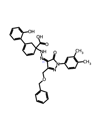 Cc1ccc(N2N=C(COCc3ccccc3)/C(=N/NC3(C(=O)O)C=CC=C(c4ccccc4O)C3)C2=O)cc1C